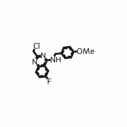 COc1ccc(CNc2nc(CCl)nc3ccc(F)cc23)cc1